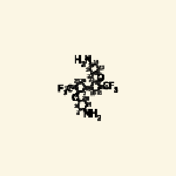 Nc1ccc(Oc2cc(-c3ccc(C(F)(F)F)c(Oc4ccc(N)cc4)c3)ccc2C(F)(F)F)cc1